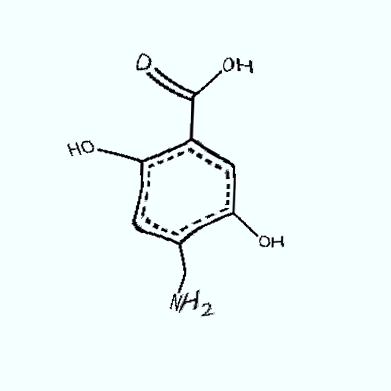 Nc1cc(O)c(C(=O)O)cc1O